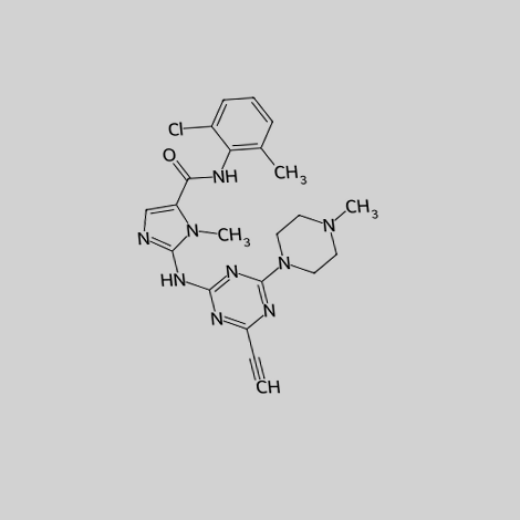 C#Cc1nc(Nc2ncc(C(=O)Nc3c(C)cccc3Cl)n2C)nc(N2CCN(C)CC2)n1